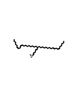 CCCCC/C=C\CC=CCCCCCCCCC(C=CCC=CN(C)C)CCCCCCCC/C=C\C/C=C\CCCCC